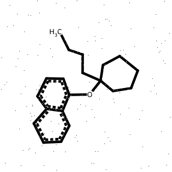 CCCCC1(Oc2cccc3ccccc23)CCCCC1